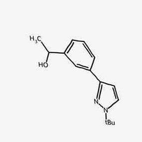 CC(O)c1cccc(-c2ccn(C(C)(C)C)n2)c1